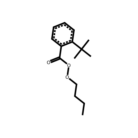 CCCCOOC(=O)c1ccccc1C(C)(C)C